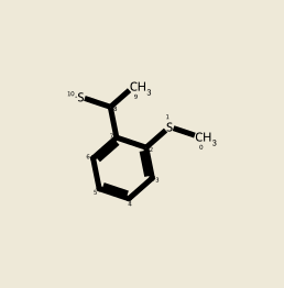 CSc1ccccc1C(C)[S]